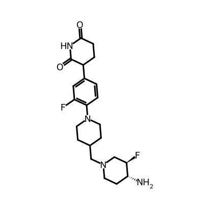 N[C@@H]1CCN(CC2CCN(c3ccc(C4CCC(=O)NC4=O)cc3F)CC2)C[C@H]1F